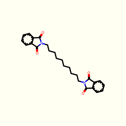 O=C1c2ccccc2C(=O)N1CCCCCCCCCCN1C(=O)c2ccccc2C1=O